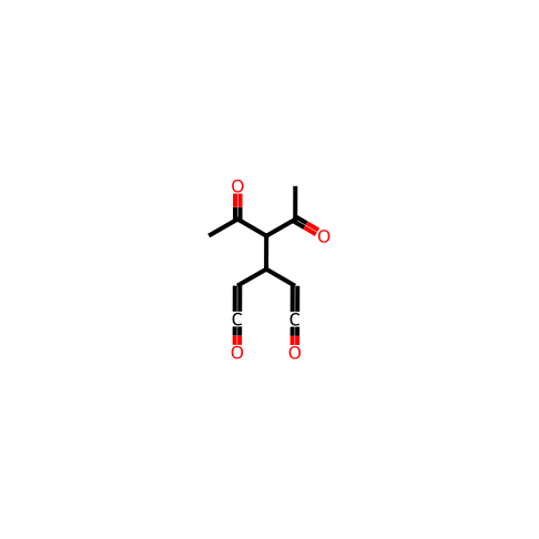 CC(=O)C(C(C)=O)C(C=C=O)C=C=O